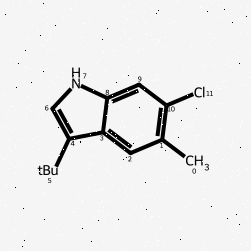 Cc1cc2c(C(C)(C)C)c[nH]c2cc1Cl